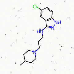 CC1CCN(CCCNc2n[nH]c3ccc(Cl)cc23)CC1